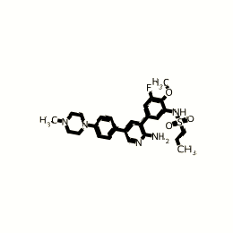 CCCS(=O)(=O)Nc1cc(-c2cc(-c3ccc(N4CCN(C)CC4)cc3)cnc2N)cc(F)c1OC